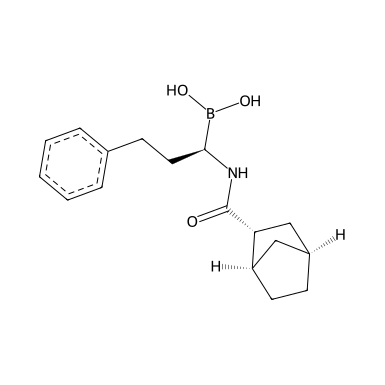 O=C(N[C@@H](CCc1ccccc1)B(O)O)[C@@H]1C[C@H]2CC[C@@H]1C2